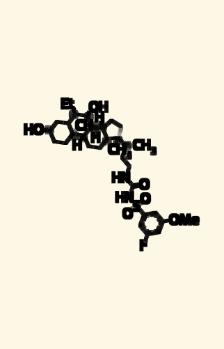 CC[C@@H]1C2C[C@H](O)CC[C@]2(C)[C@H]2CC[C@]3(C)[C@@H]([C@H](C)CCNC(=O)NS(=O)(=O)c4cc(F)cc(OC)c4)CC[C@H]3[C@@H]2[C@@H]1O